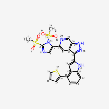 CS(=O)(=O)c1ncc(-c2cc3c(-c4cc5c(-c6cccs6)cccc5[nH]4)n[nH]c3cn2)n1S(C)(=O)=O